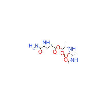 CC(=O)N[C@@H](C)C(=O)N[C@@H](C)C(=O)OC(=O)CC[C@H](N)C(N)=O